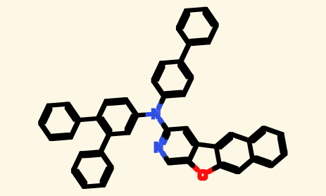 c1ccc(-c2ccc(N(c3ccc(-c4ccccc4)c(-c4ccccc4)c3)c3cc4c(cn3)oc3cc5ccccc5cc34)cc2)cc1